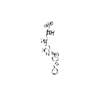 CS(=O)(=O)CCNCCNc1ccc2c(Nc3ccc(OCc4ccccc4)cc3)ncnc2c1